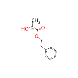 C[C@H](O)C(=O)OCCc1ccccc1